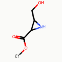 CCOC(=O)C1NC1CO